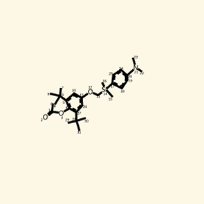 CC(=O)Oc1c(C(C)(C)C)cc(OC[Si](C)(C)c2ccc(N(C)C)cc2)cc1C(C)(C)C